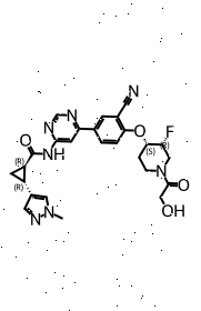 Cn1cc([C@@H]2C[C@H]2C(=O)Nc2cc(-c3ccc(O[C@H]4CCN(C(=O)CO)C[C@H]4F)c(C#N)c3)ncn2)cn1